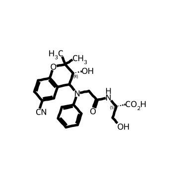 CC1(C)Oc2ccc(C#N)cc2C(N(CC(=O)N[C@@H](CO)C(=O)O)c2ccccc2)[C@H]1O